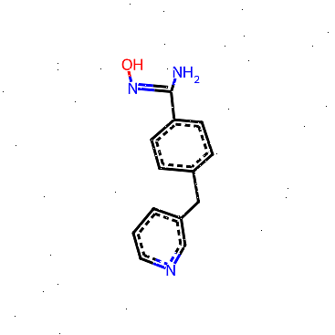 NC(=NO)c1ccc(Cc2cccnc2)cc1